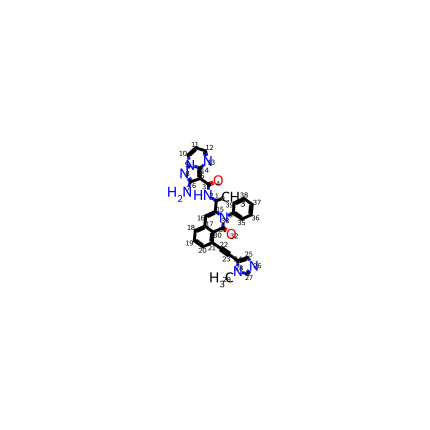 CC(NC(=O)c1c(N)nn2cccnc12)c1cc2cccc(C#Cc3cncn3C)c2c(=O)n1-c1ccccc1